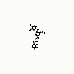 Cc1ccc(Cc2cnc(NCCOc3ccccc3)nc2N)cc1Cl